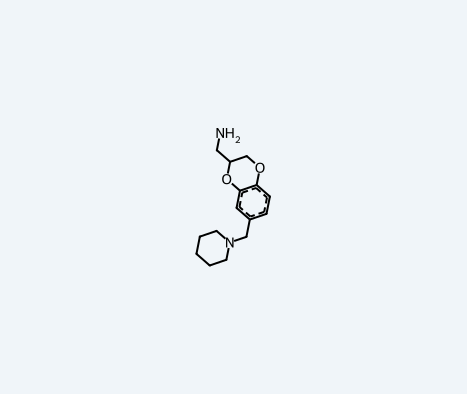 NCC1COc2ccc(CN3CCCCC3)cc2O1